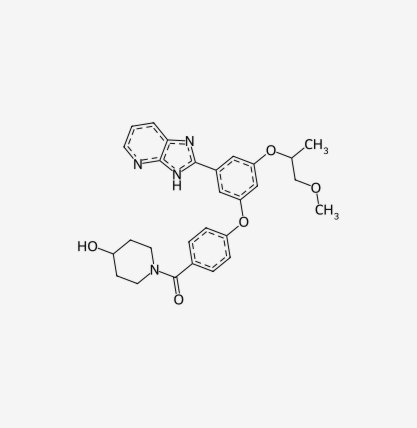 COCC(C)Oc1cc(Oc2ccc(C(=O)N3CCC(O)CC3)cc2)cc(-c2nc3cccnc3[nH]2)c1